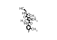 C#CCNC(=O)C(=O)c1c(C)c(C(=O)Nc2ccc(F)c(C)c2)n(C)c1C